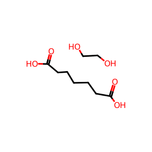 O=C(O)CCCCCC(=O)O.OCCO